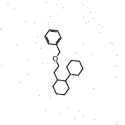 c1ccc(COCCC2CCCC[C]2C2CCCCC2)cc1